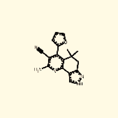 CC1(C)Cc2n[nH]cc2-c2nc(N)c(C#N)c(-c3ccco3)c21